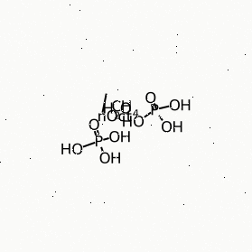 C.CCCCCCCCC.O.O=P(O)(O)O.O=P(O)(O)O